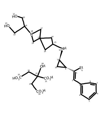 CC/C(=C\c1ccccc1)[C@@H]1C[C@H]1NC1CC2(C1)CN(C(CO)CO)C2.O=C(O)CC(O)(CC(=O)O)C(=O)O